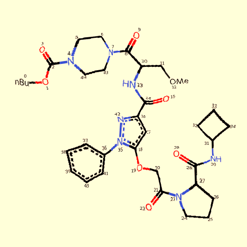 CCCCOC(=O)N1CCN(C(=O)C(COC)NC(=O)c2cc(OCC(=O)N3CCCC3C(=O)NC3CCC3)n(-c3ccccc3)n2)CC1